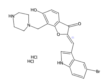 Cl.Cl.O=C1/C(=C/c2c[nH]c3ccc(Br)cc23)Oc2c1ccc(O)c2CN1CCNCC1